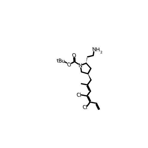 C=C/C(Cl)=C(Cl)\C=C(/C)C[C@@H]1C[C@@H](CCN)N(C(=O)OC(C)(C)C)C1